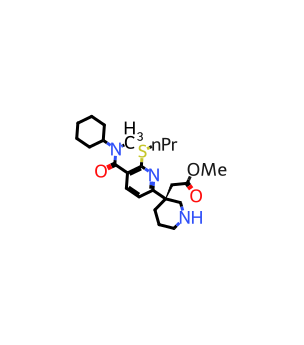 CCCSc1nc([C@@]2(CC(=O)OC)CCCNC2)ccc1C(=O)N(C)C1CCCCC1